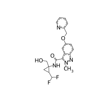 Cn1nc2ccc(OCc3ccccn3)cc2c1C(=O)NC1(CO)CC1C(F)F